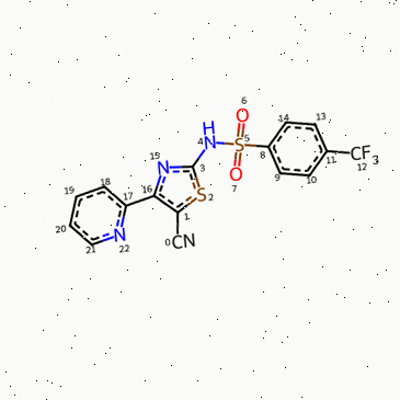 N#Cc1sc(NS(=O)(=O)c2ccc(C(F)(F)F)cc2)nc1-c1ccccn1